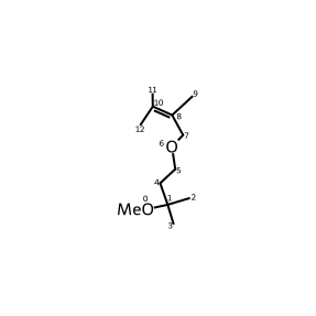 COC(C)(C)CCOCC(C)=C(C)C